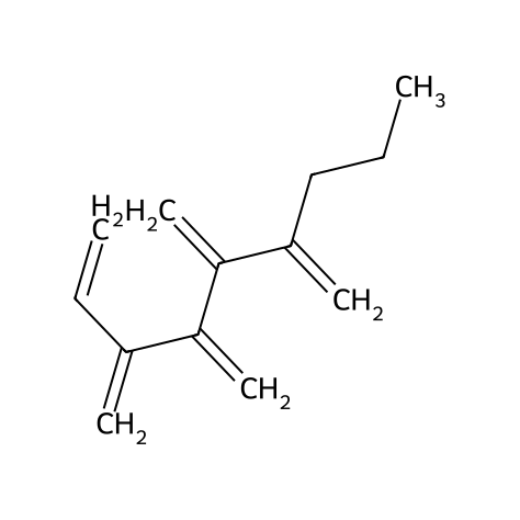 C=CC(=C)C(=C)C(=C)C(=C)CCC